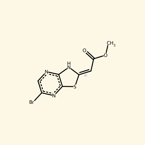 COC(=O)/C=C1\Nc2ncc(Br)nc2S1